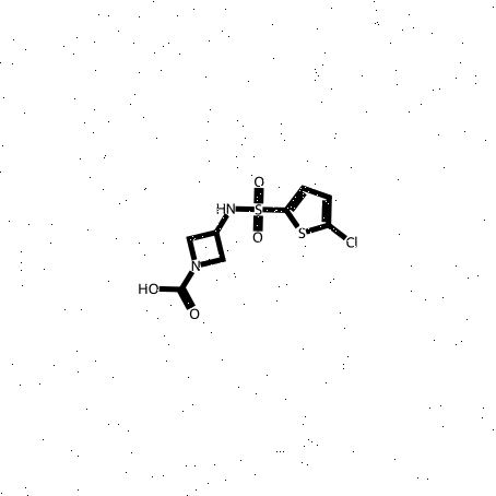 O=C(O)N1CC(NS(=O)(=O)c2ccc(Cl)s2)C1